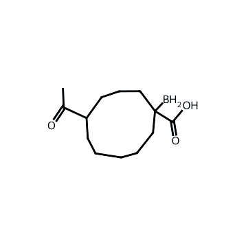 BC1(C(=O)O)CCCCCC(C(C)=O)CCC1